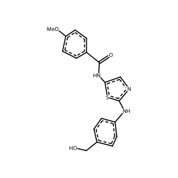 COc1ccc(C(=O)Nc2cnc(Nc3ccc(CO)cc3)s2)cc1